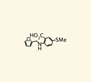 CSc1ccc(NCc2ccco2)c(C(=O)O)c1